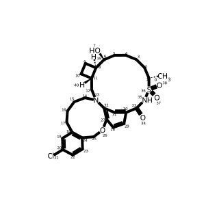 C[C@H]1CCCC[C@H](O)[C@@H]2CC[C@H]2CN2CCCCc3cc(Cl)ccc3COc3ccc(cc32)C(=O)NS1(=O)=O